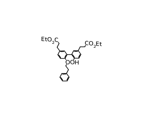 CCOC(=O)CCc1ccc(O)c(-c2cc(CCC(=O)OCC)ccc2OCCc2ccccc2)c1